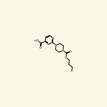 CCCCOC(=O)N1CCN(c2nccc(C(=O)O)n2)CC1